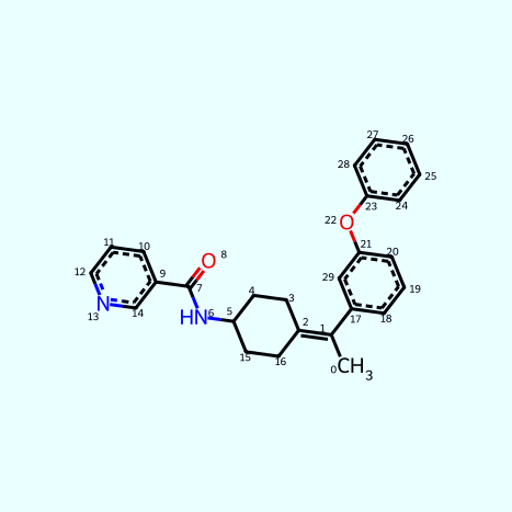 CC(=C1CCC(NC(=O)c2cccnc2)CC1)c1cccc(Oc2ccccc2)c1